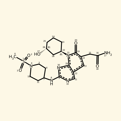 CS(=O)(=O)N1CCC(Nc2ncc3cc(CC(N)=O)c(=O)n([C@@H]4CCC[C@@H](O)C4)c3n2)CC1